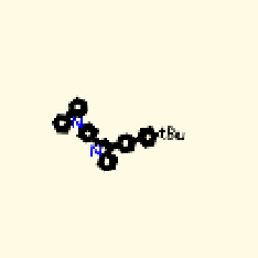 CC(C)(C)c1ccc(-c2ccc(-c3cc(-c4ccc(-n5c6ccccc6c6ccccc65)cc4)nc4ccccc34)cc2)cc1